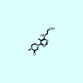 Cc1c(NCCO)ncnc1N1CCN(C)C(=O)C1